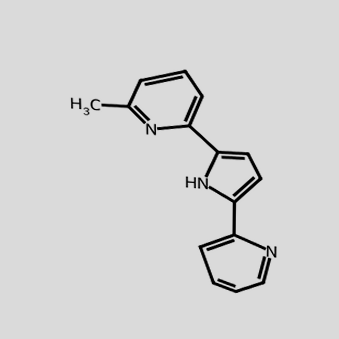 Cc1cccc(-c2ccc(-c3ccccn3)[nH]2)n1